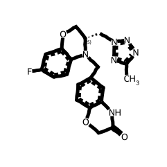 Cc1nnn(C[C@H]2COc3cc(F)ccc3N2Cc2ccc3c(c2)NC(=O)CO3)n1